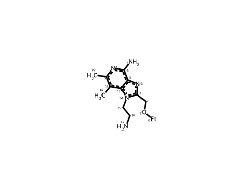 CCOCc1nc2c(N)nc(C)c(C)c2n1CCN